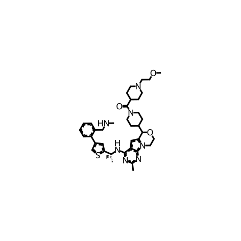 CNCc1ccccc1-c1csc([C@@H](C)Nc2nc(C)nc3c2cc2n3CCOC2C2CCN(C(=O)C3CCN(CCOC)CC3)CC2)c1